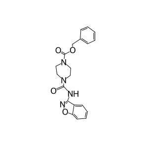 O=C(Nc1noc2ccccc12)N1CCN(C(=O)OCc2ccccc2)CC1